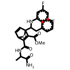 COC(=O)C1=C(C(=O)NC(C)C(N)=O)C2C=CC1(C(Cc1ccccc1)Nc1cc(F)cc(F)c1)O2